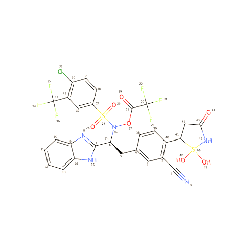 N#Cc1cc(C[C@@H](c2nc3ccccc3[nH]2)N(OC(=O)C(F)(F)F)S(=O)(=O)c2ccc(Cl)c(C(F)(F)F)c2)ccc1C1CC(=O)NS1(O)O